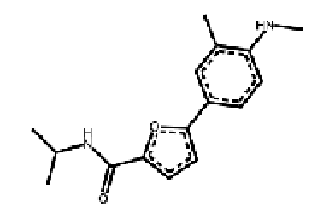 CNc1ccc(-c2ccc(C(=O)NC(C)C)o2)cc1C